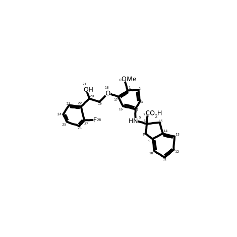 COc1ccc(NC2(C(=O)O)Cc3ccccc3C2)cc1OCC(O)c1ccccc1F